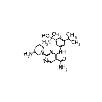 CC(C)c1cc(Nc2nc(N3CCC[C@H](N)C3)ncc2C(N)=O)cc(C(C)(C)O)c1